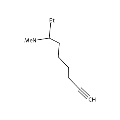 C#CCCCCC(C[CH2])NC